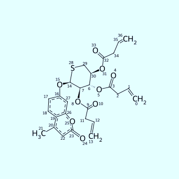 C=CCC(=O)O[C@@H]1[C@@H](OC(=O)CC=C)[C@@H](Oc2ccc3c(C)cc(=O)oc3c2)SC[C@H]1OC(=O)CC=C